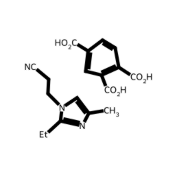 CCc1nc(C)cn1CCC#N.O=C(O)c1ccc(C(=O)O)c(C(=O)O)c1